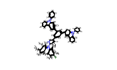 [2H]c1c([2H])c([2H])c(N(c2ccc(-c3cc(-c4ccc5c(c4)c4ccccc4n5-c4ccccc4)cc(-c4ccc5c(c4)c4ccccc4n5-c4ccccc4)c3)cn2)c2c([2H])c([2H])c(F)c([2H])c2[2H])c([2H])c1[2H]